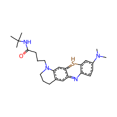 CN(C)c1ccc2c(c1)[SH]=c1cc3c(cc1=N2)CCCN3CCCC(=O)NC(C)(C)C